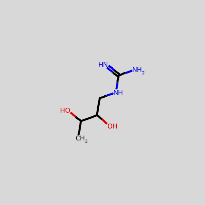 CC(O)C(O)CNC(=N)N